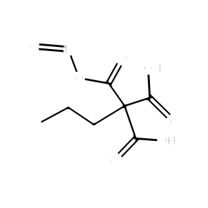 CCCC(C(=O)O)(C(=O)O)C(=O)OP=O